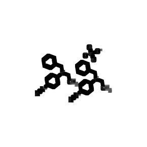 CCN(Cc1ccccc1)c1ccc([N+]#N)cc1.CCN(Cc1ccccc1)c1ccc([N+]#N)cc1.O=S(=O)([O-])[O-]